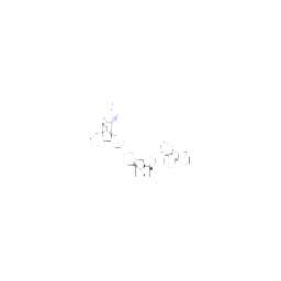 C=C/C=C\C(=C/C)n1c2ccccc2c2cc(-c3ccc4[nH]c5ccc(-c6cccc7c6oc6ccccc67)cc5c4c3)ccc21